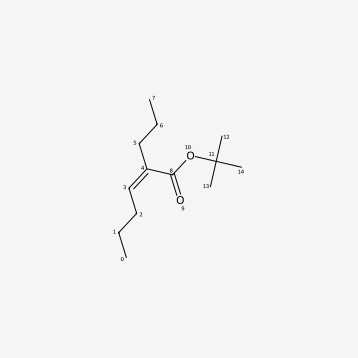 CCCC=C(CCC)C(=O)OC(C)(C)C